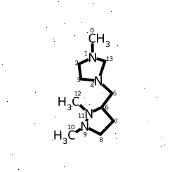 CN1CCN(CC2CCN(C)N2C)C1